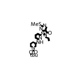 C=CCn1c(=O)c2cnc(SC)nc2n1-c1cccc(N[C@@H]2CCCN(C(=O)OC(C)(C)C)C2)n1